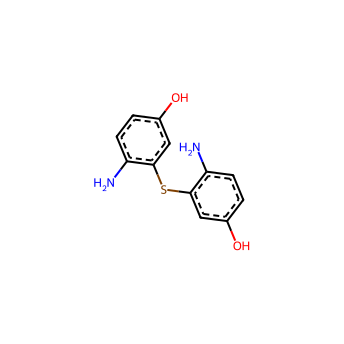 Nc1ccc(O)cc1Sc1cc(O)ccc1N